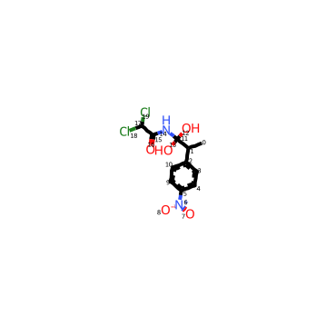 CC(c1ccc([N+](=O)[O-])cc1)C(O)(O)NC(=O)C(Cl)Cl